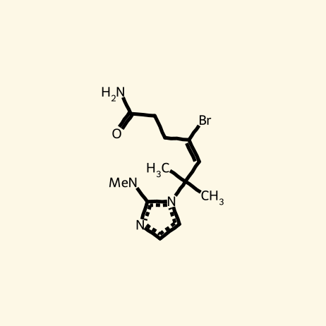 CNc1nccn1C(C)(C)/C=C(/Br)CCC(N)=O